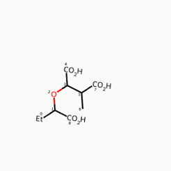 CCC(OC(C(=O)O)C(C)C(=O)O)C(=O)O